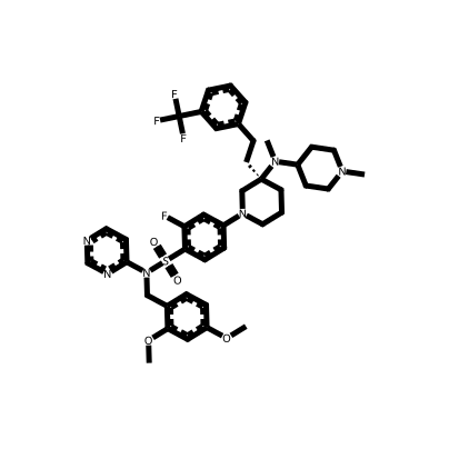 COc1ccc(CN(c2ccncn2)S(=O)(=O)c2ccc(N3CCC[C@](CCc4cccc(C(F)(F)F)c4)(N(C)C4CCN(C)CC4)C3)cc2F)c(OC)c1